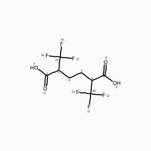 O=C(O)C(CCC(C(=O)O)C(F)(F)F)C(F)(F)F